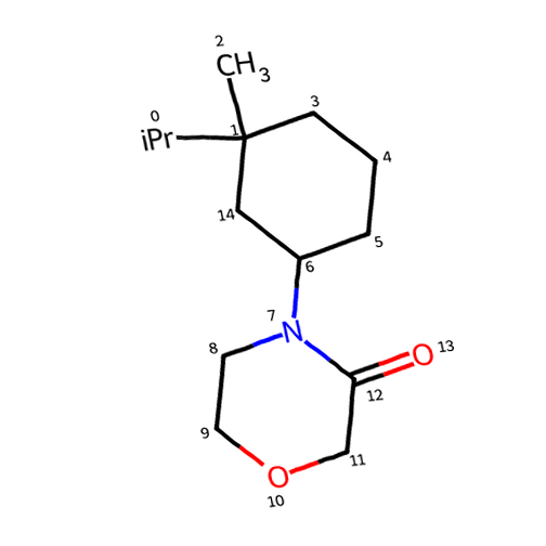 CC(C)C1(C)CCCC(N2CCOCC2=O)C1